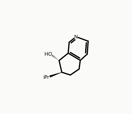 CC(C)[C@@H]1CCc2ccncc2[C@H]1O